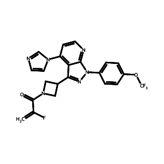 C=C(F)C(=O)N1CC(c2nn(-c3ccc(OC(F)(F)F)cc3)c3nccc(-n4ccnc4)c23)C1